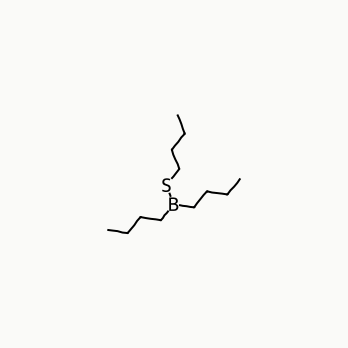 CCCCSB(CCCC)CCCC